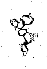 C1=CC(c2ccncn2)(c2ccncn2)Cc2[nH]nc(-c3cocn3)c21